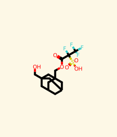 O=C(OCC12CC3CC(CC(CO)(C3)C1)C2)C(F)(C(F)(F)F)S(=O)(=O)O